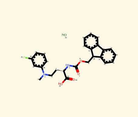 CN(CC[C@H](NC(=O)OCC1c2ccccc2-c2ccccc21)C(=O)O)c1cccc(F)c1.Cl